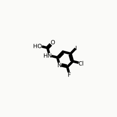 O=C(O)Nc1cc(I)c(Cl)c(F)n1